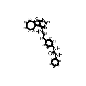 O=C(Nc1ccccc1)Nc1ccc(CCNc2ncnc3sc4c(c23)CCCCC4)cc1